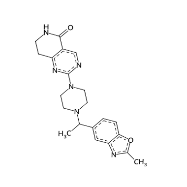 Cc1nc2cc(C(C)N3CCN(c4ncc5c(n4)CCNC5=O)CC3)ccc2o1